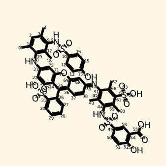 Cc1cc(C)c(NS(=O)(=O)c2ccc(O)cc2)c(C)c1Nc1ccc2c(-c3ccccc3S(=O)(=O)O)c3cc/c(=N\c4c(C)c(NS(=O)(=O)c5ccc(O)c(C(=O)O)c5)c(C)c(S(=O)(=O)O)c4C)cc-3oc2c1